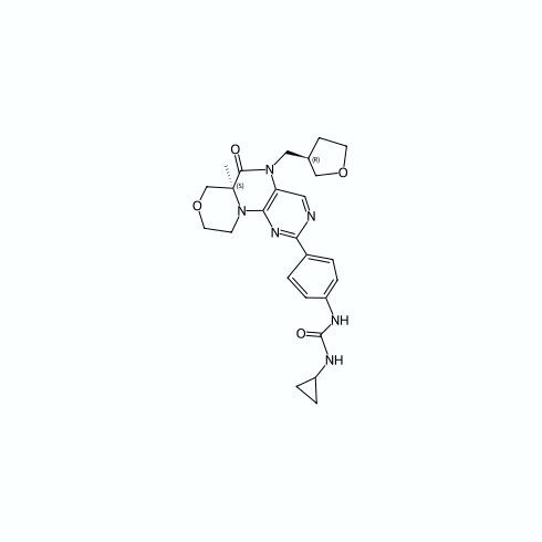 C[C@@]12COCCN1c1nc(-c3ccc(NC(=O)NC4CC4)cc3)ncc1N(C[C@H]1CCOC1)C2=O